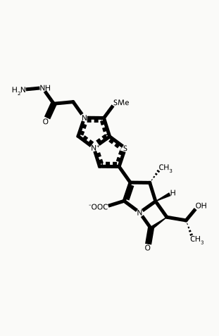 CSc1c2sc(C3=C(C(=O)[O-])N4C(=O)[C@H]([C@@H](C)O)[C@H]4[C@H]3C)c[n+]2cn1CC(=O)NN